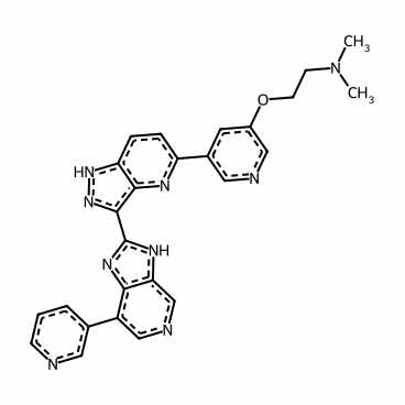 CN(C)CCOc1cncc(-c2ccc3[nH]nc(-c4nc5c(-c6cccnc6)cncc5[nH]4)c3n2)c1